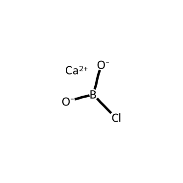 [Ca+2].[O-]B([O-])Cl